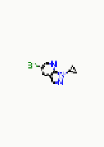 Brc1cnc2c(cnn2C2CC2)c1